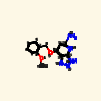 CCCCOc1ccccc1COc1cc(N)nc2[nH]nnc12